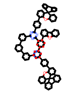 c1ccc(-c2cccc(-c3nc(-c4ccc(-c5cccc6c5Oc5ccccc5C65c6ccccc6-c6ccccc65)cc4)nc(-c4cccc(-c5cccc(-c6cccc(-c7nc(-c8ccc(-c9cccc%10c9Oc9ccccc9C%109c%10ccccc%10-c%10ccccc%109)cc8)nc(-c8ccc(-c9cccc%10c9oc9ccccc9%10)cc8)n7)c6)c5)c4)n3)c2)cc1